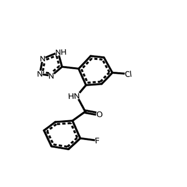 O=C(Nc1cc(Cl)ccc1-c1nnn[nH]1)c1ccccc1F